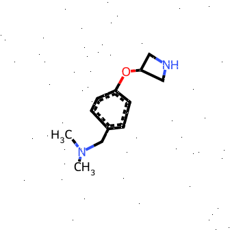 CN(C)Cc1ccc(OC2CNC2)cc1